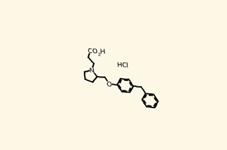 Cl.O=C(O)CCN1CCCC1COc1ccc(Cc2ccccc2)cc1